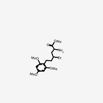 CCC(CCc1c(OC)cc(OC)cc1OC)CC(N)C(=O)OC